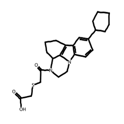 O=C(O)CSCC(=O)N1CCn2c3c(c4cc(C5CCCCC5)ccc42)CCCC31